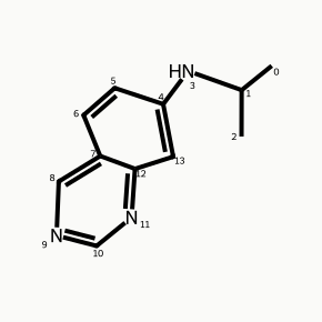 CC(C)Nc1ccc2cncnc2c1